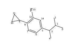 CC(C)C(C)c1ccc(C2CC2)c(F)c1